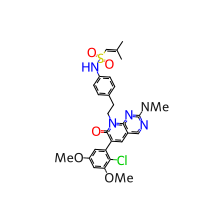 CNc1ncc2cc(-c3cc(OC)cc(OC)c3Cl)c(=O)n(CCc3ccc(NS(=O)(=O)C=C(C)C)cc3)c2n1